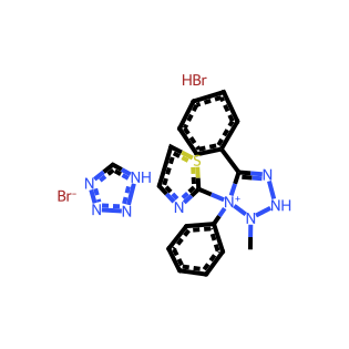 Br.CN1NN=C(c2ccccc2)[N+]1(c1ccccc1)c1nccs1.[Br-].c1nnn[nH]1